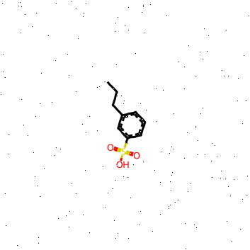 [CH2]CCc1cccc(S(=O)(=O)O)c1